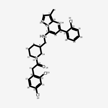 Cc1cnn2c(NCC3CCCN(C(=O)Cc4ccc(Cl)cc4Cl)C3)cc(-c3ccccc3Cl)nc12